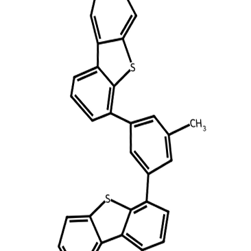 Cc1cc(-c2cccc3c2sc2ccccc23)cc(-c2cccc3c2sc2ccccc23)c1